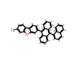 Clc1ccc2c(c1)oc1cc(-c3c4ccccc4c(-c4cccc5ccccc45)c4ccccc34)ccc12